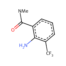 CNC(=O)c1cccc(C(F)(F)F)c1N